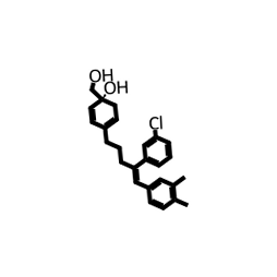 Cc1ccc(C=C(CCCC2=CC[C@](O)(CO)C=C2)c2cccc(Cl)c2)cc1C